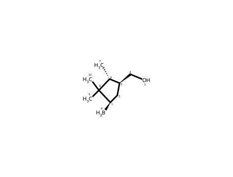 B[C@@H]1C[C@H](CO)[C@@H](C)C1(C)C